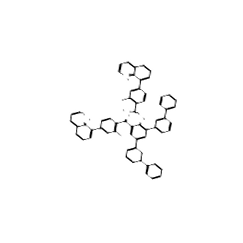 Cc1cc(-c2cccc3cccnc23)ccc1-c1nc(-c2ccc(-c3cccc4cccnc34)cc2C)c2cc(C3=CC=CC(c4ccccc4)C3)cc(-c3cccc(-c4ccccc4)c3)c2n1